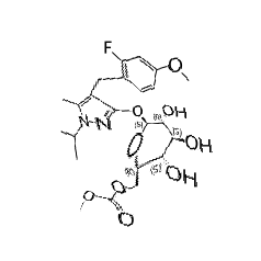 COC(=O)OC[C@H]1O[C@@H](Oc2nn(C(C)C)c(C)c2Cc2ccc(OC)cc2F)[C@H](O)[C@@H](O)[C@@H]1O